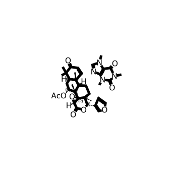 CC(=O)O[C@@H]1C[C@H]2C(C)(C)C(=O)C=C[C@]2(C)[C@H]2CC[C@@]3(C)[C@H](c4ccoc4)OC(=O)[C@H]4O[C@]43[C@@]21C.Cn1c(=O)c2c(ncn2C)n(C)c1=O